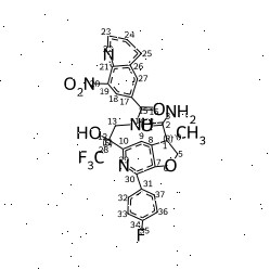 C[C@]1(C(N)=O)COc2c1cc([C@@](O)(CNC(=O)c1cc([N+](=O)[O-])c3ncccc3c1)C(F)(F)F)nc2-c1ccc(F)cc1